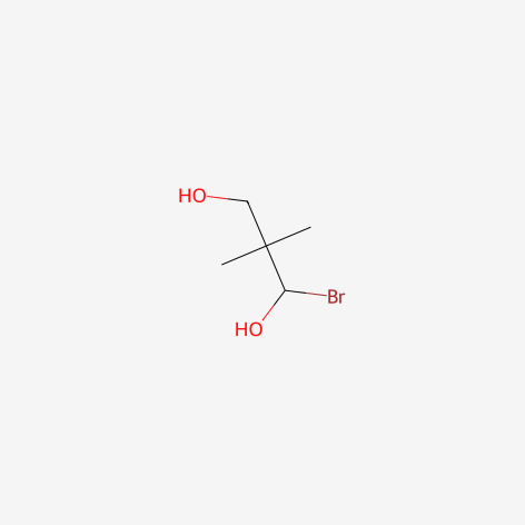 CC(C)(CO)C(O)Br